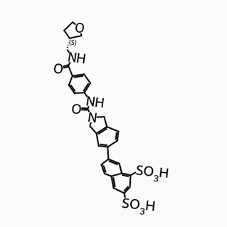 O=C(NC[C@@H]1CCOC1)c1ccc(NC(=O)N2Cc3ccc(-c4ccc5cc(S(=O)(=O)O)cc(S(=O)(=O)O)c5c4)cc3C2)cc1